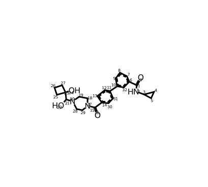 O=C(NC1CC1)c1cccc(-c2ccc(C(=O)N3CCN(C(O)C4(O)CCC4)CC3)cc2)c1